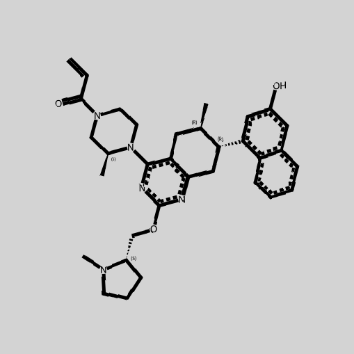 C=CC(=O)N1CCN(c2nc(OC[C@@H]3CCCN3C)nc3c2C[C@@H](C)[C@H](c2cc(O)cc4ccccc24)C3)[C@@H](C)C1